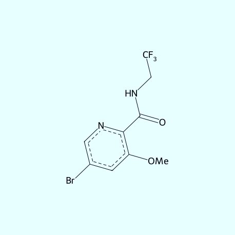 COc1cc(Br)cnc1C(=O)NCC(F)(F)F